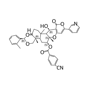 Cc1ccccc1[C@@H]1OC[C@@]2(C)C3C[C@H](OC(=O)c4ccc(C#N)cc4)[C@@]4(C)Oc5cc(-c6cccnc6)oc(=O)c5[C@H](O)C4C3(C)CC[C@@H]2O1